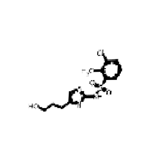 Cc1c(Cl)cccc1S(=O)(=O)Nc1nc(CCCO)cs1